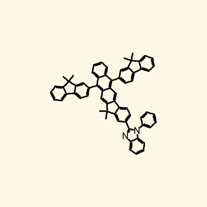 CC1(C)c2ccccc2-c2ccc(-c3c4ccccc4c(-c4ccc5c(c4)C(C)(C)c4ccccc4-5)c4cc5c(cc34)-c3ccc(-c4nc6ccccc6n4-c4ccccc4)cc3C5(C)C)cc21